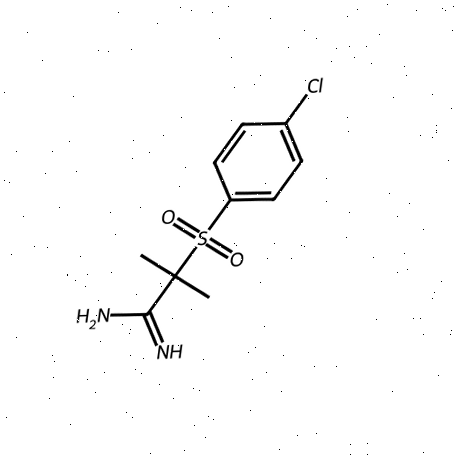 CC(C)(C(=N)N)S(=O)(=O)c1ccc(Cl)cc1